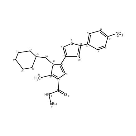 CCCCNC(=O)c1cc(-c2csc(-c3ccc([N+](=O)[O-])cc3)n2)n(CC2CCCCC2)c1C